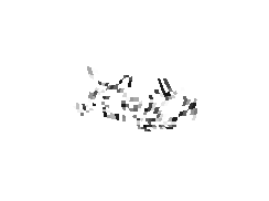 C=CCOC1(C)CCN(c2c([C@H](OC(C)(C)C)C(=O)OC)c(C)c(C)c3nc(-c4cccc(-c5cc(F)cc(F)c5O[C@@H](C)CC=C)c4)cn23)CC1